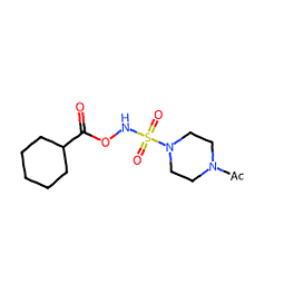 CC(=O)N1CCN(S(=O)(=O)NOC(=O)C2CCCCC2)CC1